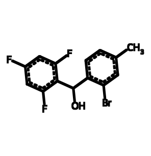 Cc1ccc(C(O)c2c(F)cc(F)cc2F)c(Br)c1